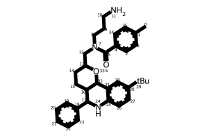 Cc1ccc(C(=O)N(CCCN)CC2CCC3C(c4ccccc4)Nc4ccc(C(C)(C)C)cc4C3O2)cc1